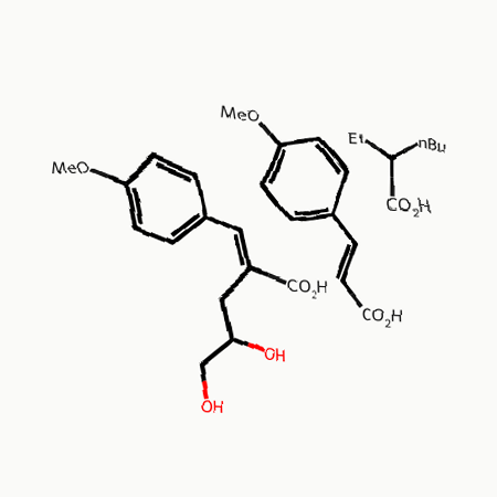 CCCCC(CC)C(=O)O.COc1ccc(C=C(CC(O)CO)C(=O)O)cc1.COc1ccc(C=CC(=O)O)cc1